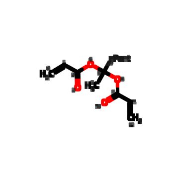 C=CC(=O)OC(C)(CCCCC)OC(=O)C=C